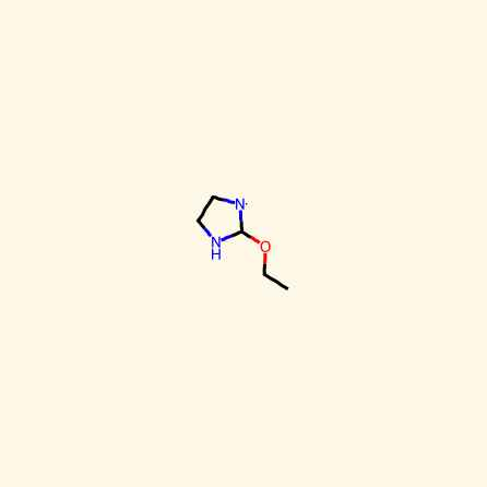 CCOC1[N]CCN1